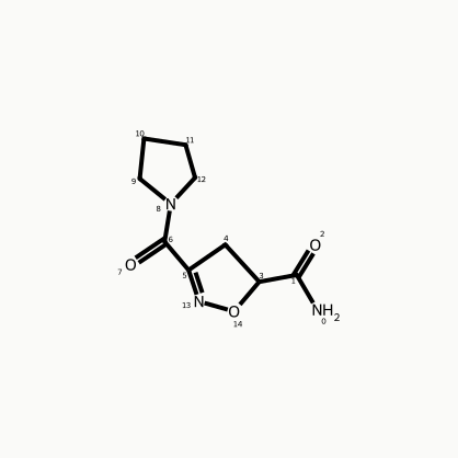 NC(=O)C1CC(C(=O)N2CCCC2)=NO1